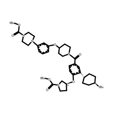 CC(C)(C)OC(=O)N1CCN(c2cccc(OC3CCN(C(=O)c4ccc(O[C@H]5CCN(C(=O)OC(C)(C)C)C5)c([C@H]5CC[C@H](C(C)(C)C)CC5)c4)CC3)c2)CC1